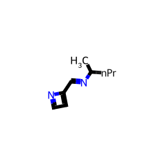 CCCC(C)/N=C/C1=CC=N1